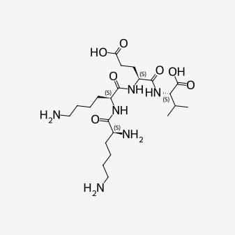 CC(C)[C@H](NC(=O)[C@H](CCC(=O)O)NC(=O)[C@H](CCCCN)NC(=O)[C@@H](N)CCCCN)C(=O)O